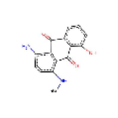 CCCCNc1ccc(N)c2c1C(=O)c1c(O)cccc1C2=O